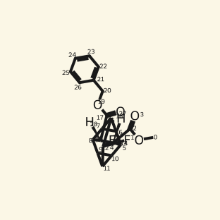 COC(=O)[C@@H]1C2C3C4C(C5C2C5C(F)(F)C34)[C@@H]1C(=O)OCc1ccccc1